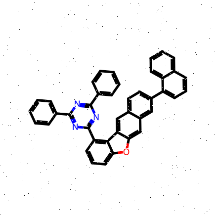 c1ccc(-c2nc(-c3ccccc3)nc(-c3cccc4oc5cc6cc(-c7cccc8ccccc78)ccc6cc5c34)n2)cc1